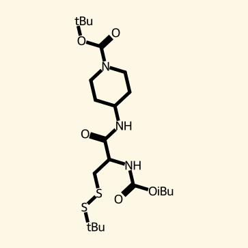 CC(C)COC(=O)NC(CSSC(C)(C)C)C(=O)NC1CCN(C(=O)OC(C)(C)C)CC1